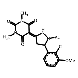 COc1cccc(C2CC(=C3C(=O)N(C)C(=O)N(C)C3=O)NN2C(C)=O)c1Cl